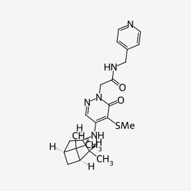 CSc1c(N[C@@H]2C[C@@H]3C[C@H]([C@H]2C)C3(C)C)cnn(CC(=O)NCc2ccncc2)c1=O